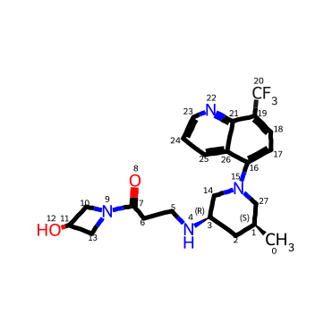 C[C@H]1C[C@@H](NCCC(=O)N2CC(O)C2)CN(c2ccc(C(F)(F)F)c3ncccc23)C1